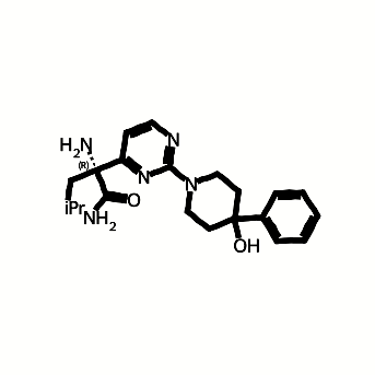 CC(C)C[C@](N)(C(N)=O)c1ccnc(N2CCC(O)(c3ccccc3)CC2)n1